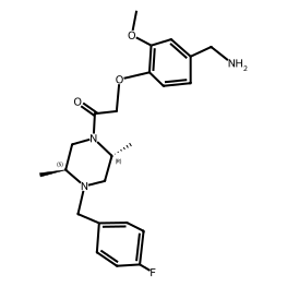 COc1cc(CN)ccc1OCC(=O)N1C[C@H](C)N(Cc2ccc(F)cc2)C[C@H]1C